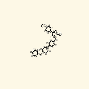 O=C1OC(c2ccc(Cl)cc2)CN1Cc1ccc(N2CCN(Cc3ccccn3)CC2)cc1